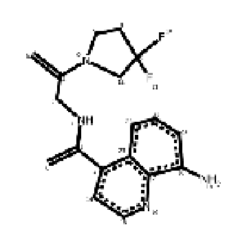 C=C(NCC(=C)N1CCC(F)(F)C1)c1ccnc2c(N)cccc12